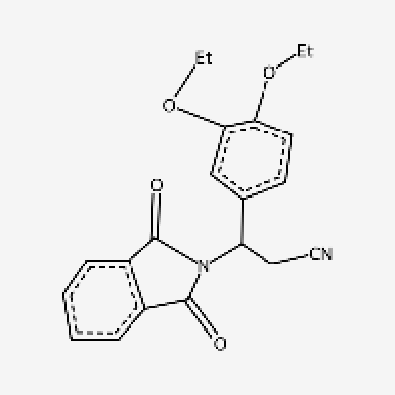 CCOc1ccc(C(CC#N)N2C(=O)c3ccccc3C2=O)cc1OCC